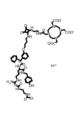 CCC(=O)NCCNC(=O)/N=C(/N)NCCCC(NC(=O)[C@H](c1ccccc1)c1cccc(OCCCCNc2c(NCCNC(=O)CN3CCN(CC(=O)[O-])CCN(CC(=O)[O-])CCN(CC(=O)[O-])CC3)c(=O)c2=O)c1)C(=O)NCc1ccc(O)cc1.[In+3]